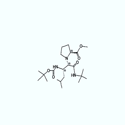 COC(=O)[C@@H]1CCCN1[C@H](C(=O)NC(C)(C)C)[C@H](CC(C)C)NC(=O)OC(C)(C)C